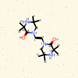 CC1(C)CN(C=CN2CC(C)(C)NC(C)(C)C2=O)C(=O)C(C)(C)N1